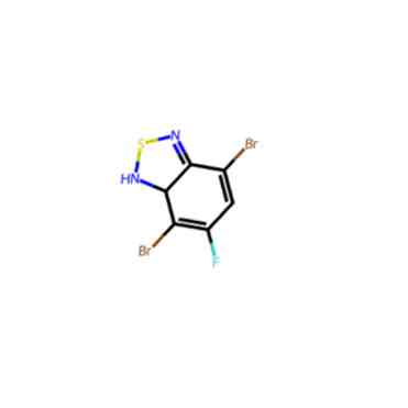 FC1=C(Br)C2NSN=C2C(Br)=C1